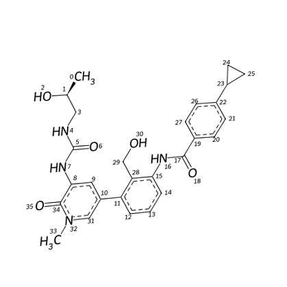 C[C@H](O)CNC(=O)Nc1cc(-c2cccc(NC(=O)c3ccc(C4CC4)cc3)c2CO)cn(C)c1=O